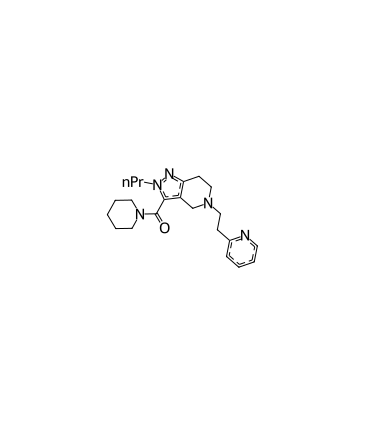 CCCn1nc2c(c1C(=O)N1CCCCC1)CN(CCc1ccccn1)CC2